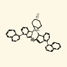 CC(C)(C)C1=Cc2c(-c3cccc4ccccc34)cccc2[CH]1[Hf+2]1([CH]2C(C(C)(C)C)=Cc3c(-c4cccc5ccccc45)cccc32)[CH]2CCCC[CH]21.[Cl-].[Cl-]